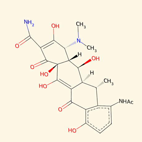 CC(=O)Nc1ccc(O)c2c1[C@@H](C)[C@H]1C(=C(O)[C@]3(O)C(=O)C(C(N)=O)=C(O)[C@H](N(C)C)[C@@H]3[C@H]1O)C2=O